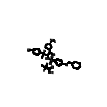 N[C@@H]1CCN(C(=O)[C@@H](NS(=O)(=O)c2ccc(OCC3CCCCC3)cc2)C(F)(F)c2ccc(Cl)cc2)C1.O=C(O)C(F)(F)F